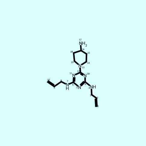 C=CCNc1nc(NCC=C)nc(N2CCC(N)CC2)n1